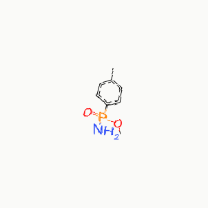 COP(N)(=O)c1ccc(C)cc1